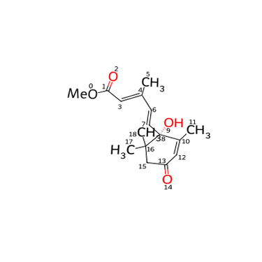 COC(=O)C=C(C)C=C[C@@]1(O)C(C)=CC(=O)CC1(C)C